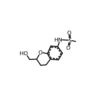 CS(=O)(=O)Nc1ccc2c(c1)OC(CO)CC2